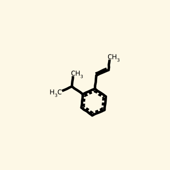 CC=Cc1ccccc1C(C)C